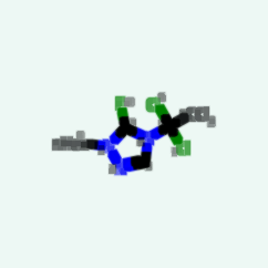 CCCCCCN1N=CN(C(Cl)(Cl)C(Cl)(Cl)Cl)C1F